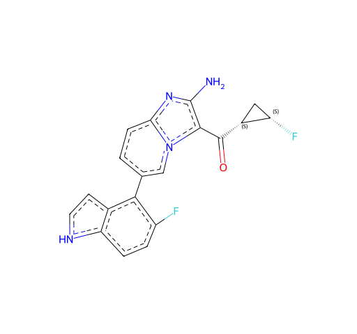 Nc1nc2ccc(-c3c(F)ccc4[nH]ccc34)cn2c1C(=O)[C@@H]1C[C@@H]1F